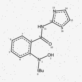 CC(C)(C)N(O)c1ccccc1C(=O)Nc1nccs1